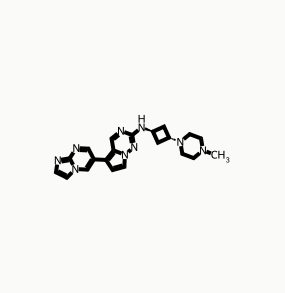 CN1CCN([C@H]2C[C@H](Nc3ncc4c(-c5cnc6nccn6c5)ccn4n3)C2)CC1